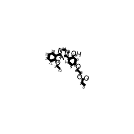 C=CC(=O)OCCOc1ccc(-c2ncnc(-c3ccccc3OCC)n2)c(O)c1